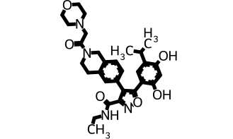 CCNC(=O)c1noc(-c2cc(C(C)C)c(O)cc2O)c1-c1ccc2c(c1)CCN(C(=O)CN1CCOCC1)C2